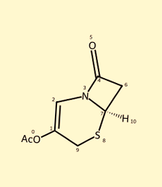 CC(=O)OC1=CN2C(=O)C[C@H]2SC1